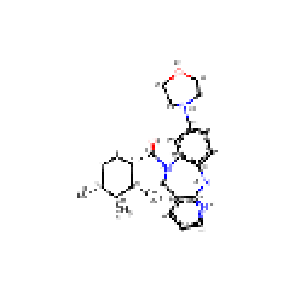 CC[C@@H]1CC[C@H](C(=O)N2Cc3cccnc3Nc3ccc(N4CCOCC4)cc32)[C@H](C)[C@@H]1C